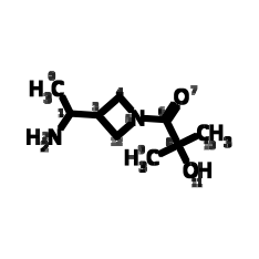 CC(N)C1CN(C(=O)C(C)(C)O)C1